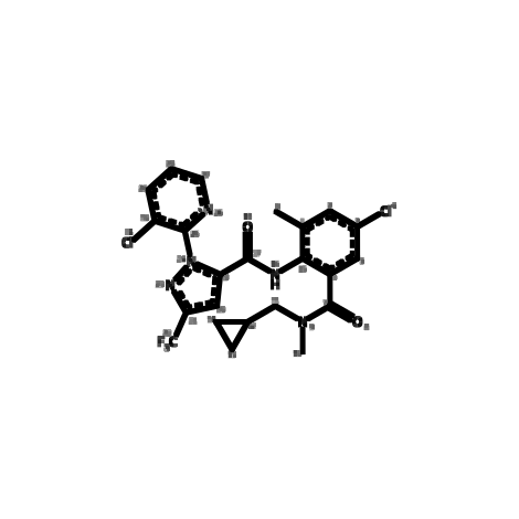 Cc1cc(Cl)cc(C(=O)N(C)CC2CC2)c1NC(=O)c1cc(C(F)(F)F)nn1-c1ncccc1Cl